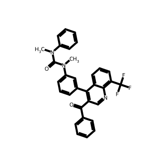 CN(C(=O)N(C)c1cccc(-c2c(C(=O)c3ccccc3)cnc3c(C(F)(F)F)cccc23)c1)c1ccccc1